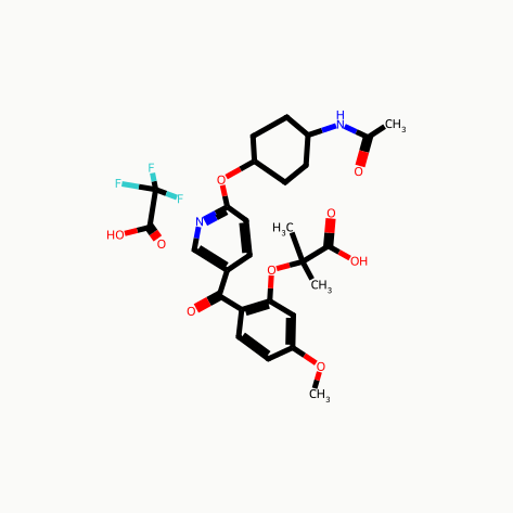 COc1ccc(C(=O)c2ccc(OC3CCC(NC(C)=O)CC3)nc2)c(OC(C)(C)C(=O)O)c1.O=C(O)C(F)(F)F